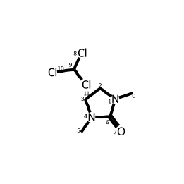 CN1CCN(C)C1=O.ClC(Cl)Cl